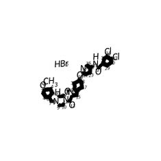 Br.COc1ccc(CN2CCN(C(=O)c3cc4ccc(Oc5ccc(NC(=O)c6ccc(Cl)c(Cl)c6)cn5)cc4n3C)CC2)cc1